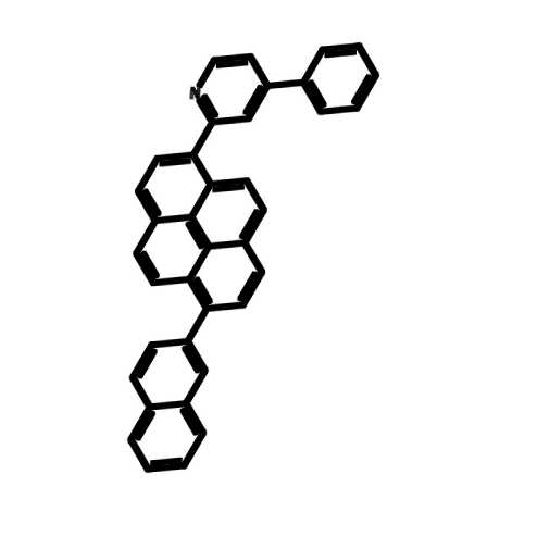 c1ccc(-c2ccnc(-c3ccc4ccc5c(-c6ccc7ccccc7c6)ccc6ccc3c4c65)c2)cc1